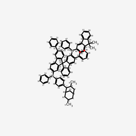 CC1CC2CC(C)C(c3ccc(N(c4ccccc4)c4ccc5c(c4)C4(c6ccccc6-c6cc(-c7ccccc7)c(N(c7ccccc7)c7ccc8c(c7)-c7ccccc7C8(C)C)cc64)c4ccc(-c6ccccc6)cc4-5)cc3)C(C1)C2